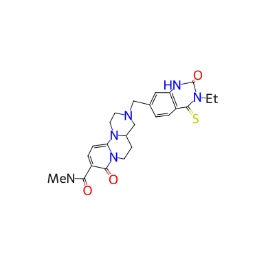 CCn1c(=O)[nH]c2cc(CN3CCN4c5ccc(C(=O)NC)c(=O)n5CCC4C3)ccc2c1=S